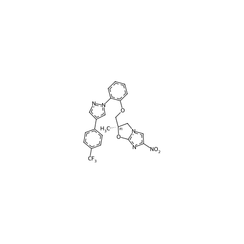 C[C@]1(COc2ccccc2-n2cc(-c3ccc(C(F)(F)F)cc3)cn2)Cn2cc([N+](=O)[O-])nc2O1